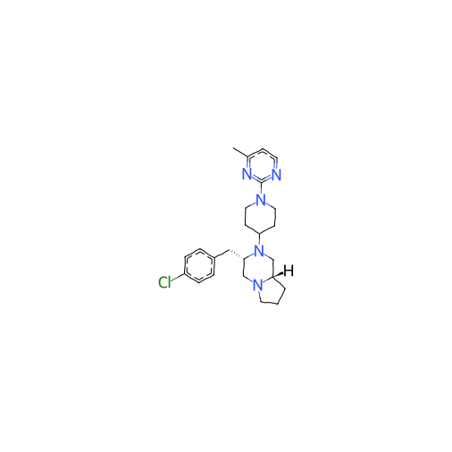 Cc1ccnc(N2CCC(N3C[C@@H]4CCCN4C[C@@H]3Cc3ccc(Cl)cc3)CC2)n1